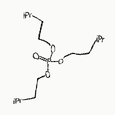 CC(C)CCOP(=O)(OCCC(C)C)OCCC(C)C